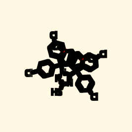 Sc1nc(C(c2ccc(Cl)cc2)(c2ccc(Cl)cc2)c2ccc(Cl)cc2)n(C(c2ccc(Cl)cc2)(c2ccc(Cl)cc2)c2ccc(Cl)cc2)n1